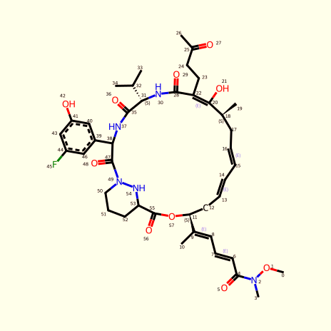 CON(C)C(=O)/C=C/C=C(\C)[C@@H]1C/C=C/C=C/C[C@H](C)/C(O)=C(/CCC(C)=O)C(=O)N[C@@H](C(C)C)C(=O)NC(c2cc(O)cc(F)c2)C(=O)N2CCCC(N2)C(=O)O1